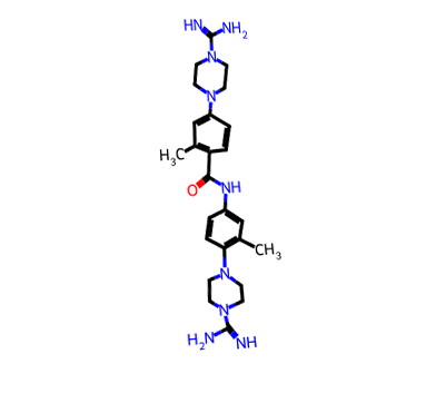 Cc1cc(N2CCN(C(=N)N)CC2)ccc1C(=O)Nc1ccc(N2CCN(C(=N)N)CC2)c(C)c1